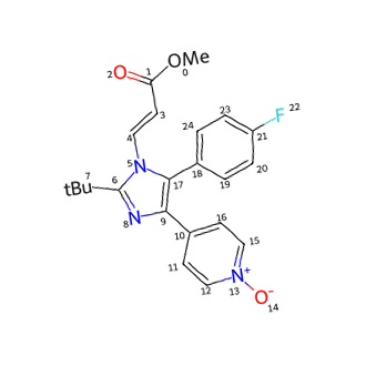 COC(=O)C=Cn1c(C(C)(C)C)nc(-c2cc[n+]([O-])cc2)c1-c1ccc(F)cc1